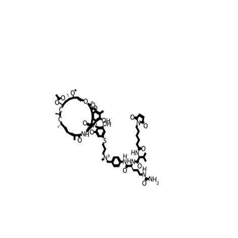 CO[C@H]1/C=C/O[C@@]2(C)Oc3c(C)c(O)c4c(=O)c(c5oc6cc(SCCC[N+](C)(C)Cc7ccc(NC(=O)[C@H](CCCNC(N)=O)NC(=O)[C@@H](NC(=O)CCCCCN8C(=O)C=CC8=O)C(C)C)cc7)cc(O)c6nc-5c4c3C2=O)NC(=O)/C(C)=C\C=C\[C@H](C)C[C@@H](C)C[C@@H](C)[C@H](OC(C)=O)[C@@H]1C